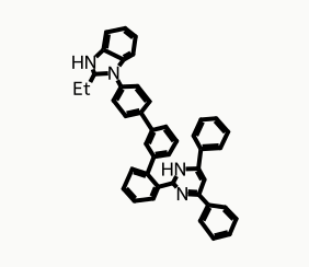 CCC1Nc2ccccc2N1c1ccc(-c2cccc(-c3ccccc3C3N=C(c4ccccc4)C=C(c4ccccc4)N3)c2)cc1